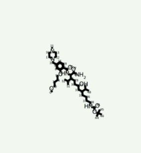 COCCCCOc1cc(CN2CCN(C)CC2)ccc1C(=O)NC(C(N)=O)C(CCC(O)CC(CCCCNC(=O)OC(C)(C)C)C(C)C)C(C)C